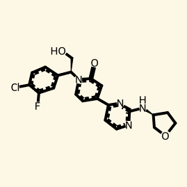 O=c1cc(-c2ccnc(N[C@H]3CCOC3)n2)ccn1[C@H](CO)c1ccc(Cl)c(F)c1